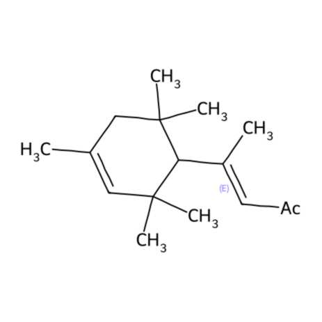 CC(=O)/C=C(\C)C1C(C)(C)C=C(C)CC1(C)C